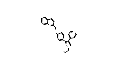 C[C@H](O)Cn1cc(-c2ccncc2)c(-c2ccc(OCc3ccc4ccccc4n3)cc2)n1